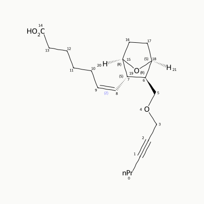 CCCC#CCOC[C@H]1[C@H](/C=C\CCCCC(=O)O)[C@H]2CC[C@@H]1O2